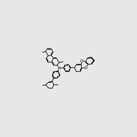 CC1C=C(c2ccc(N(c3ccc(C4C=C5OC6=C(C=C=C=C6)OC5=CC4)cc3)C3C=C4C=CC5C(=CC=CC5C)C4=CC3C)cc2)C(C)CC1